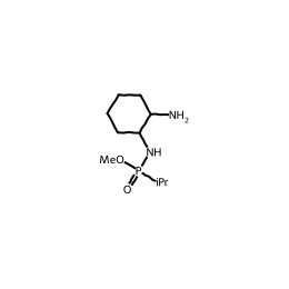 COP(=O)(NC1CCCCC1N)C(C)C